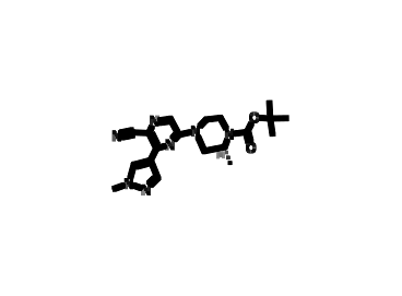 C[C@@H]1CN(c2cnc(C#N)c(-c3cnn(C)c3)n2)CCN1C(=O)OC(C)(C)C